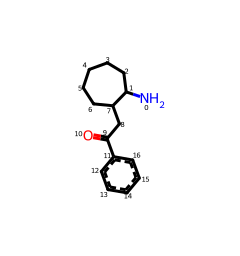 NC1CCCCCC1CC(=O)c1ccccc1